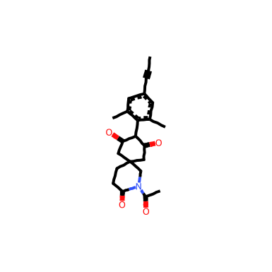 CC#Cc1cc(C)c(C2C(=O)CC3(CCC(=O)N(C(C)=O)C3)CC2=O)c(C)c1